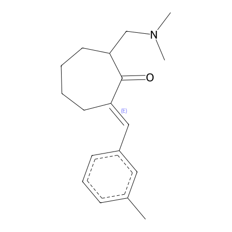 Cc1cccc(/C=C2\CCCCC(CN(C)C)C2=O)c1